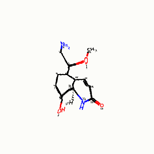 COC(CN)C1CCC(O)[C@@H]2NC(=O)C=CC12